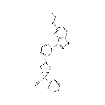 CCOc1ccc2[nH]nc(-c3ccnc(N4CC5C(C4)C5(C#N)c4ccccn4)c3)c2c1